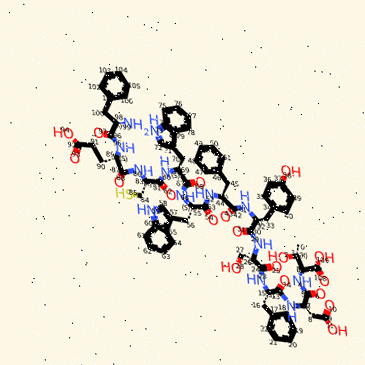 C[C@@H](O)[C@H](NC(=O)[C@H](CC(=O)O)NC(=O)[C@H](Cc1ccccc1)NC(=O)[C@H](CO)NC(=O)[C@H](Cc1ccc(O)cc1)NC(=O)[C@H](Cc1ccccc1)NC(=O)[C@H](Cc1c[nH]c2ccccc12)NC(=O)[C@H](Cc1c[nH]c2ccccc12)NC(=O)[C@H](CS)NC(=O)[C@H](CCC(=O)O)NC(=O)[C@@H](N)Cc1ccccc1)C(=O)O